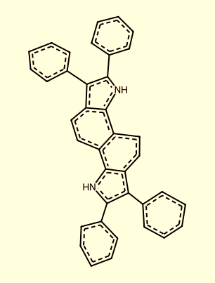 c1ccc(-c2[nH]c3c(ccc4c3ccc3c(-c5ccccc5)c(-c5ccccc5)[nH]c34)c2-c2ccccc2)cc1